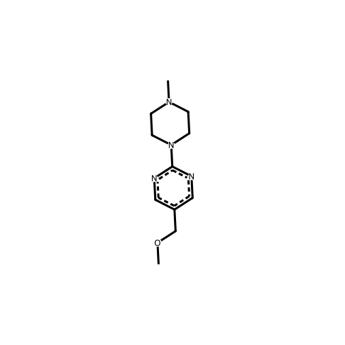 COCc1cnc(N2CCN(C)CC2)nc1